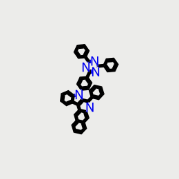 c1ccc(-c2nc(-c3ccccc3)nc(-c3ccc(-n4c5ccccc5c5c6cc7ccccc7cc6nc(-c6ccccc6)c54)cc3)n2)cc1